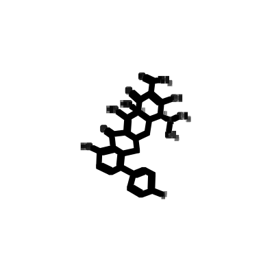 CN(C)[C@@H]1C(O)=C(C(N)=O)C(=O)[C@@]2(O)C(O)=C3C(=O)c4c(O)ccc(-c5ccc(F)cc5)c4CC3CC12